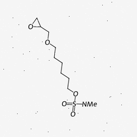 CNS(=O)(=O)OCCCCCCOCC1CO1